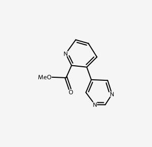 COC(=O)c1ncccc1-c1cncnc1